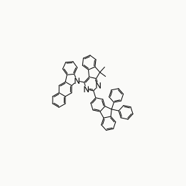 CC1(C)c2ccccc2-c2c(-n3c4ccccc4c4cc5ccccc5cc43)nc(-c3ccc4c(c3)C(c3ccccc3)(c3ccccc3)c3ccccc3-4)nc21